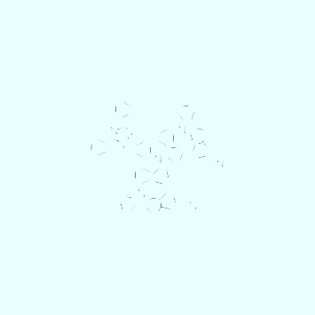 N#Cc1cccc(-c2ccc3c(c2)c2cc(-c4cccc(C#N)c4)ccc2n3-c2c(-c3ccc(-n4c5ccccc5c5ccccc54)cc3)cc(-c3nc(-c4ccccc4)nc(-c4ccccc4)n3)cc2-c2ccc(-n3c4ccccc4c4ccccc43)cc2)c1